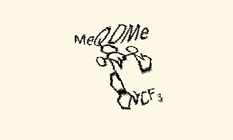 COc1cc2c(C(=O)N3CCCCC3)cn(-c3ccc4c(c3)N(CC(F)(F)F)CCC4)c(=O)c2cc1OC